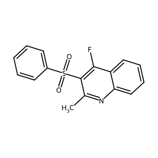 Cc1nc2ccccc2c(F)c1S(=O)(=O)c1ccccc1